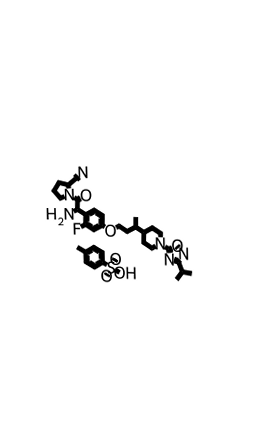 CC(C)c1noc(N2CCC(C(C)CCOc3ccc(C(N)C(=O)N4CCCC4C#N)c(F)c3)CC2)n1.Cc1ccc(S(=O)(=O)O)cc1